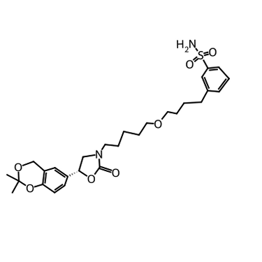 CC1(C)OCc2cc([C@@H]3CN(CCCCCOCCCCc4cccc(S(N)(=O)=O)c4)C(=O)O3)ccc2O1